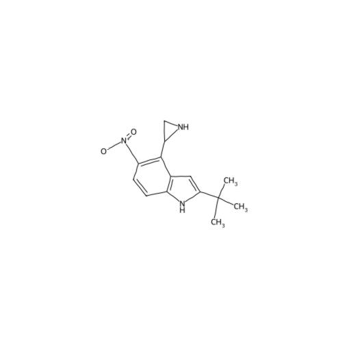 CC(C)(C)c1cc2c(C3CN3)c([N+](=O)[O-])ccc2[nH]1